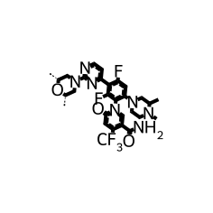 CC1CN(c2cc(F)c(-c3ccnc(N4C[C@@H](C)O[C@@H](C)C4)n3)c(F)c2-n2cc(C(N)=O)c(C(F)(F)F)cc2=O)CCN1C